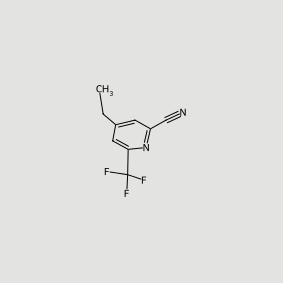 CCc1cc(C#N)nc(C(F)(F)F)c1